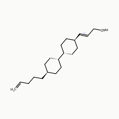 C=CCCC[C@H]1CC[C@H]([C@H]2CC[C@H](/C=C/COC)CC2)CC1